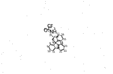 O=C(NCCSC(c1ccccc1)(c1ccccc1)c1ccccc1)C(F)(F)F